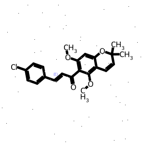 COc1cc2c(c(OC)c1C(=O)/C=C/c1ccc(Cl)cc1)C=CC(C)(C)O2